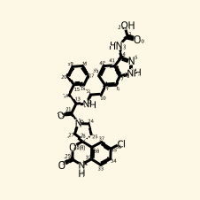 O=C(O)Nc1n[nH]c2cc(CCNC(Cc3ccccc3)C(=O)N3CC[C@@]4(C3)OC(=O)Nc3ccc(Cl)cc34)ccc12